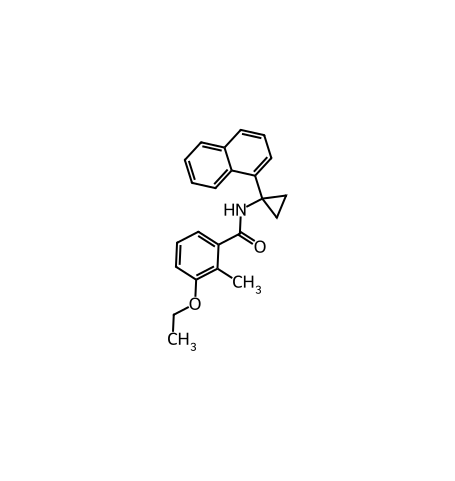 CCOc1cccc(C(=O)NC2(c3cccc4ccccc34)CC2)c1C